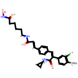 COc1ccc(C(=Cc2ccc(C=CC(=O)NCCCCCC(=O)NO)cc2)C(=O)NC2CC2)cc1F